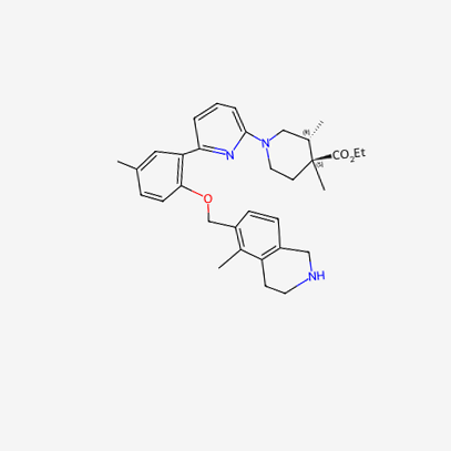 CCOC(=O)[C@@]1(C)CCN(c2cccc(-c3cc(C)ccc3OCc3ccc4c(c3C)CCNC4)n2)C[C@@H]1C